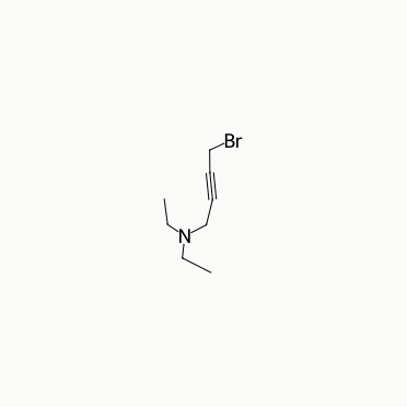 CCN(CC)CC#CCBr